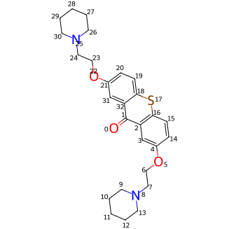 O=c1c2cc(OCCN3CCCCC3)ccc2sc2ccc(OCCN3CCCCC3)cc12